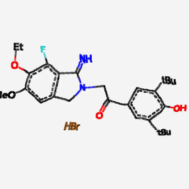 Br.CCOc1c(OC)cc2c(c1F)C(=N)N(CC(=O)c1cc(C(C)(C)C)c(O)c(C(C)(C)C)c1)C2